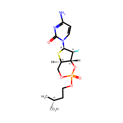 C[C@H](CCOP1(=O)OC[C@H]2S[C@@H](n3ccc(N)nc3=O)[C@@H](F)[C@@H]2O1)C(=O)O